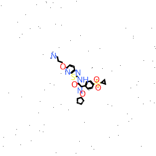 CN(C)CCCOc1ccc2nc(NC(=O)/C(=N/OC3CCCC3)c3ccc(S(=O)(=O)C4CC4)cc3)sc2n1